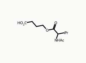 CC(=O)NC(C(=O)OCCCC(=O)O)C(C)C